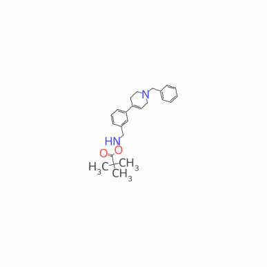 CC(C)(C)C(=O)ONCc1cccc(C2=CCN(Cc3ccccc3)CC2)c1